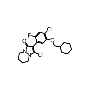 O=c1c(-c2cc(OCC3CCCCC3)c(Cl)cc2F)c(Cl)n2n1CCCC2